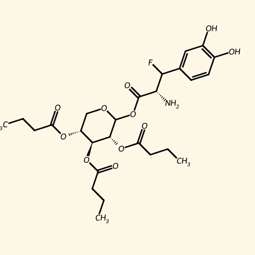 CCCC(=O)O[C@H]1[C@H](OC(=O)CCC)COC(OC(=O)[C@@H](N)C(F)c2ccc(O)c(O)c2)[C@@H]1OC(=O)CCC